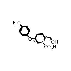 O=C(O)N1C[C@@H](Oc2ccc(C(F)(F)F)cc2)CC[C@H]1CO